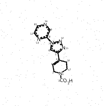 O=C(O)N1CC=C(c2cn(-c3cnccn3)nn2)CC1